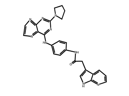 O=C(Cc1c[nH]c2ncccc12)Nc1ccc(Nc2nc(N3CCCC3)nc3nccnc23)cc1